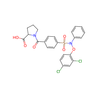 O=C(O)C1CCCN1C(=O)c1ccc(S(=O)(=O)N(Oc2ccc(Cl)cc2Cl)c2ccccc2)cc1